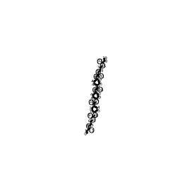 C=CC(=O)OCCOC(=O)Oc1ccc(C(=O)Oc2ccc(OC(=O)c3ccc(OC(=O)OCCOC(=O)C=C)cc3)cc2)cc1